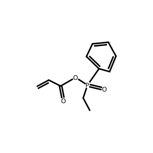 C=CC(=O)OP(=O)(CC)c1cc[c]cc1